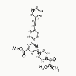 COC(=O)c1cc(-c2ccc(C#Cc3cccnc3)cc2)nc(N2CCN(C(=O)N(C)C)CC2)c1